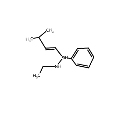 CCN[SiH](C=CC(C)C)c1ccccc1